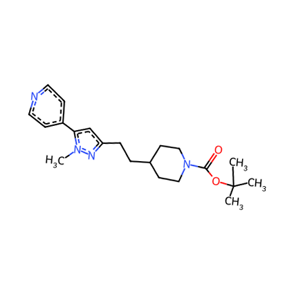 Cn1nc(CCC2CCN(C(=O)OC(C)(C)C)CC2)cc1-c1ccncc1